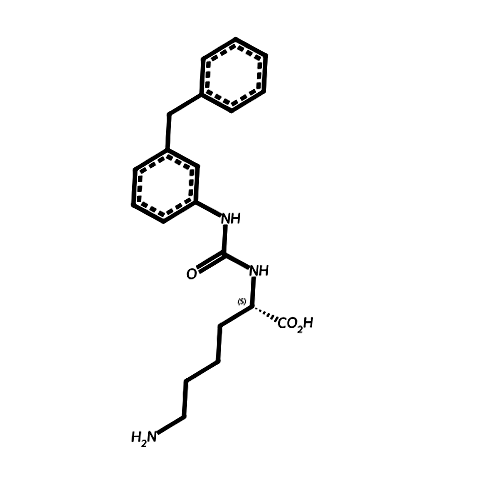 NCCCC[C@H](NC(=O)Nc1cccc(Cc2ccccc2)c1)C(=O)O